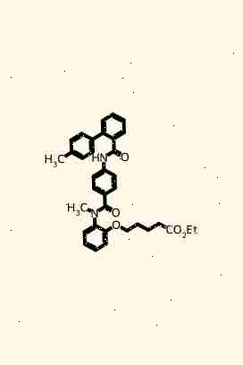 CCOC(=O)CCCCOc1ccccc1N(C)C(=O)c1ccc(NC(=O)c2ccccc2-c2ccc(C)cc2)cc1